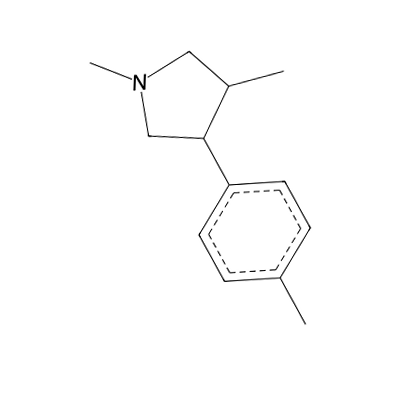 Cc1ccc(C2CN(C)CC2C)cc1